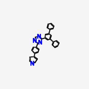 c1ccc(-c2cc(-c3ccccc3)cc(-c3ncnc(-c4ccc(-c5ccncc5)cc4)n3)c2)cc1